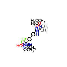 C[C@@H](c1ncc(-c2ccc(-c3ccc(-c4[nH]c([C@@]5(C(C)(C)C)CCCN5C(=O)O)nc4C(F)(F)F)cc3)cc2)[nH]1)N(C)C(=O)OC(C)(C)C